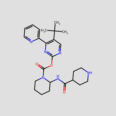 CC(C)(C)c1cnc(OC(=O)N2CCCCC2NC(=O)C2CCNCC2)nc1-c1ccccn1